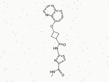 CNC(=O)c1csc(NC(=O)C2CC(Oc3cccc4cccnc34)C2)n1